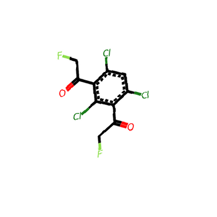 O=C(CF)c1c(Cl)cc(Cl)c(C(=O)CF)c1Cl